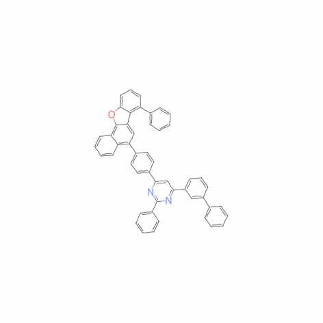 c1ccc(-c2cccc(-c3cc(-c4ccc(-c5cc6c(oc7cccc(-c8ccccc8)c76)c6ccccc56)cc4)nc(-c4ccccc4)n3)c2)cc1